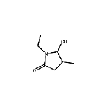 CCN1C(=O)CC(C)C1O